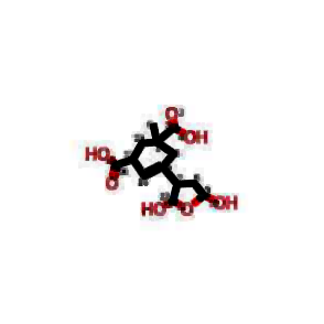 CC1(C(=O)O)CC(C2CC(O)OC2O)=CC(C(=O)O)C1